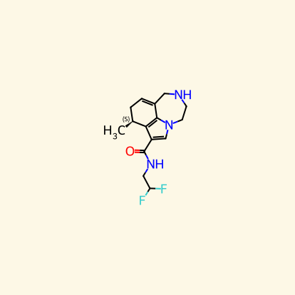 C[C@H]1CC=C2CNCCn3cc(C(=O)NCC(F)F)c1c32